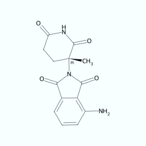 C[C@@]1(N2C(=O)c3cccc(N)c3C2=O)CCC(=O)NC1=O